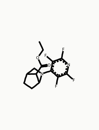 CCOC(=O)C1C2CCC1N(c1c(F)c(F)nc(F)c1F)C2